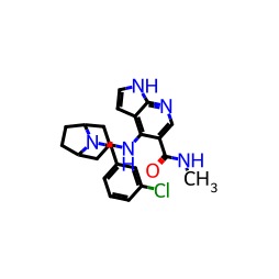 CNC(=O)c1cnc2[nH]ccc2c1NC1CC2CCC(C1)N2Cc1cccc(Cl)c1